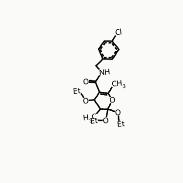 CCOC1C(C(=O)NCc2ccc(Cl)cc2)=C(C)OC(OCC)(OCC)C1C